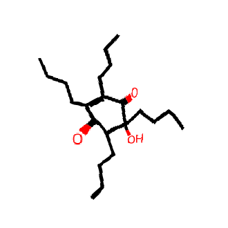 CCCCC1=C(CCCC)C(=O)C(O)(CCCC)C(CCCC)C1=O